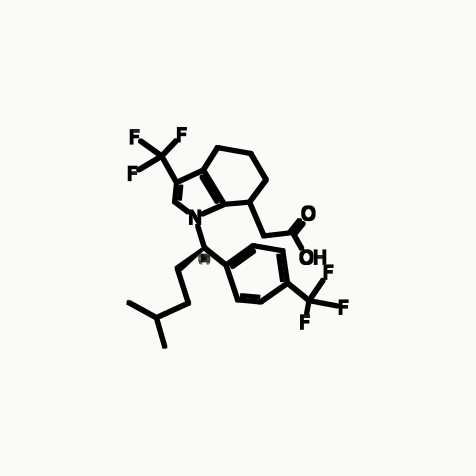 CC(C)CC[C@H](c1ccc(C(F)(F)F)cc1)n1cc(C(F)(F)F)c2c1C(CC(=O)O)CCC2